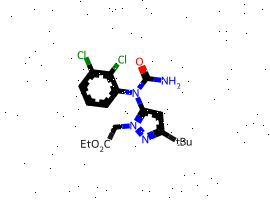 CCOC(=O)Cn1nc(C(C)(C)C)cc1N(C(N)=O)c1cccc(Cl)c1Cl